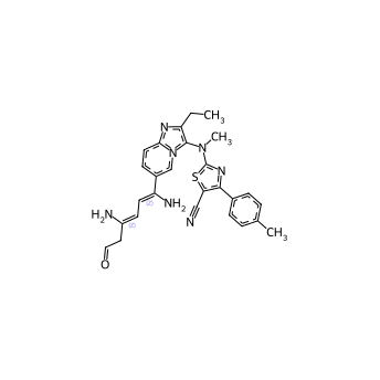 CCc1nc2ccc(/C(N)=C/C=C(\N)CC=O)cn2c1N(C)c1nc(-c2ccc(C)cc2)c(C#N)s1